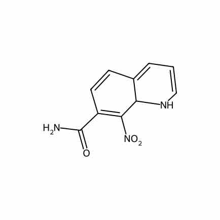 NC(=O)C1=C([N+](=O)[O-])C2NC=CC=C2C=C1